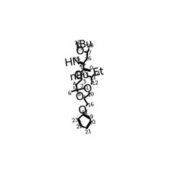 C=C(OCCC(C)(C)OC(COCC(CC)CCCC)COc1ccccc1)C(=N)CC(C)OC(C)(C)C